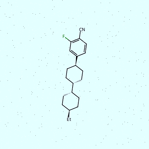 CC[C@H]1CC[C@H]([C@H]2CC[C@H](c3ccc(C#N)c(F)c3)CC2)CC1